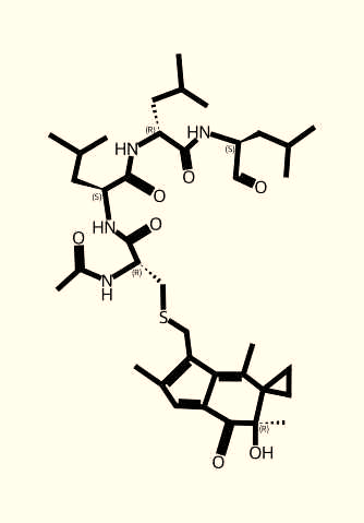 CC(=O)N[C@@H](CSCC1=C(C)C=C2C(=O)[C@](C)(O)C3(CC3)C(C)=C21)C(=O)N[C@@H](CC(C)C)C(=O)N[C@H](CC(C)C)C(=O)N[C@H](C=O)CC(C)C